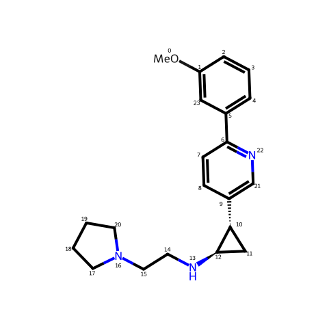 COc1cccc(-c2ccc([C@@H]3C[C@H]3NCCN3CCCC3)cn2)c1